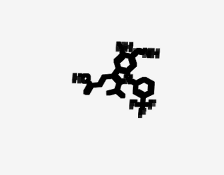 C=C(O)CCc1c(C(C)C)n(C2C=C(C(F)(F)F)C=CC2)c2cc(C=N)c(N)cc12